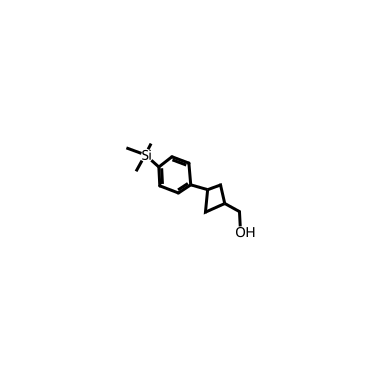 C[Si](C)(C)c1ccc(C2CC(CO)C2)cc1